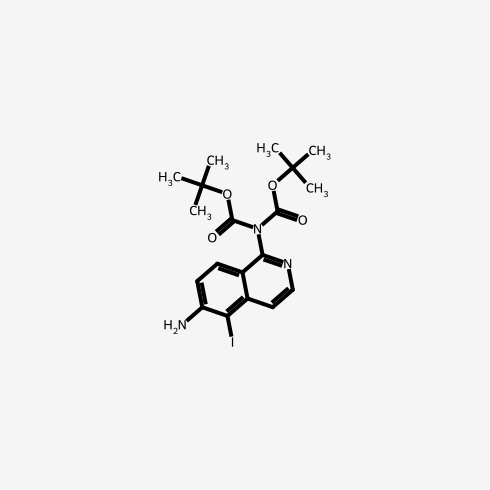 CC(C)(C)OC(=O)N(C(=O)OC(C)(C)C)c1nccc2c(I)c(N)ccc12